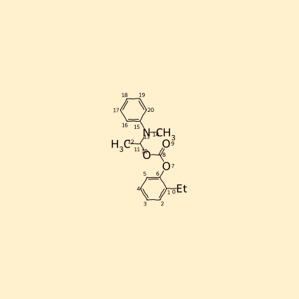 CCc1ccccc1OC(=O)OC(C)N(C)c1ccccc1